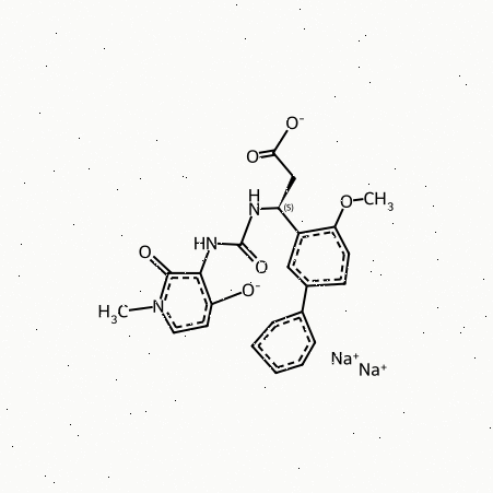 COc1ccc(-c2ccccc2)cc1[C@H](CC(=O)[O-])NC(=O)Nc1c([O-])ccn(C)c1=O.[Na+].[Na+]